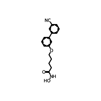 N#Cc1cccc(-c2cccc(OCCCCC(=O)NO)c2)c1